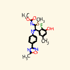 COC(=O)/N=C(SC)/C(=N/c1ccc(-c2noc(C)n2)cc1)c1cc(C)cc(O)c1F